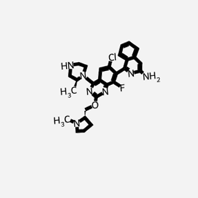 C[C@H]1CNCCN1c1nc(OC[C@@H]2CCCN2C)nc2c(F)c(-c3nc(N)cc4ccccc34)c(Cl)cc12